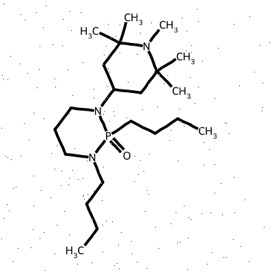 CCCCN1CCCN(C2CC(C)(C)N(C)C(C)(C)C2)P1(=O)CCCC